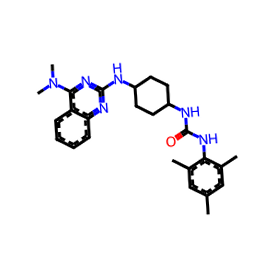 Cc1cc(C)c(NC(=O)NC2CCC(Nc3nc(N(C)C)c4ccccc4n3)CC2)c(C)c1